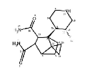 NC(=O)C1C2CCC([C@H]3CCNC[C@@H]3F)(C1C(N)=O)C21CC1